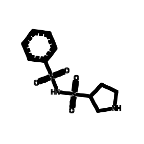 O=S(=O)(NS(=O)(=O)C1CCNC1)c1ccccc1